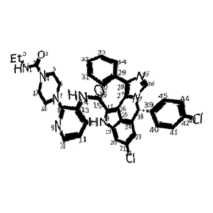 CCNC(=O)N1CCN(c2ncccc2NC(=O)c2[nH]c3cc(Cl)cc4c3c2-c2c(-c3ccccc3)ncn2[C@@H]4c2ccc(Cl)cc2)CC1